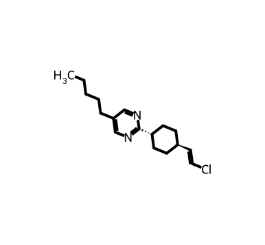 CCCCCc1cnc([C@H]2CC[C@H](/C=C/Cl)CC2)nc1